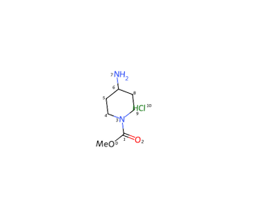 COC(=O)N1CCC(N)CC1.Cl